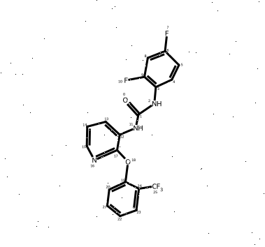 O=C(Nc1ccc(F)cc1F)Nc1cccnc1Oc1ccccc1C(F)(F)F